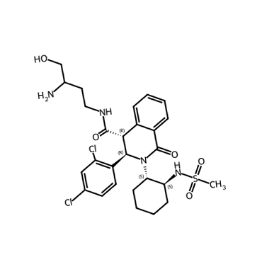 CS(=O)(=O)N[C@H]1CCCC[C@@H]1N1C(=O)c2ccccc2[C@@H](C(=O)NCCC(N)CO)[C@@H]1c1ccc(Cl)cc1Cl